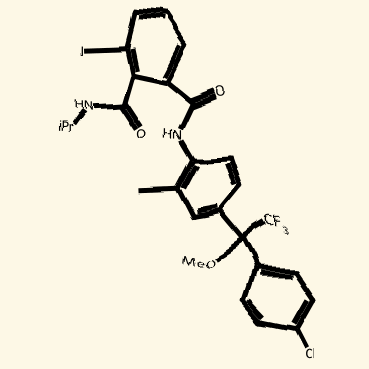 COC(c1ccc(Cl)cc1)(c1ccc(NC(=O)c2cccc(I)c2C(=O)NC(C)C)c(C)c1)C(F)(F)F